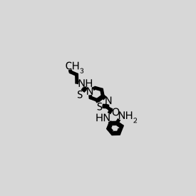 CCCCNC(=S)N1CCc2nc(C(=O)Nc3ccccc3N)sc2C1